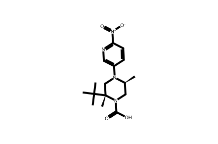 C[C@H]1CN(C(=O)O)[C@](C)(C(C)(C)C)CN1c1ccc([N+](=O)[O-])nc1